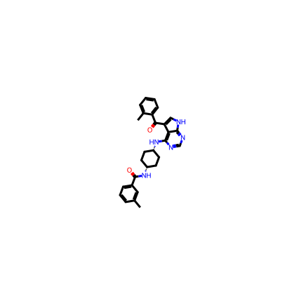 Cc1cccc(C(=O)N[C@H]2CC[C@@H](Nc3ncnc4[nH]cc(C(=O)c5ccccc5C)c34)CC2)c1